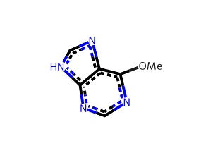 COc1ncnc2[nH]cnc12